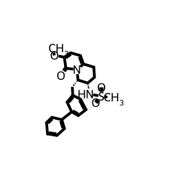 COc1ccc2n(c1=O)[C@@H](Cc1cccc(-c3ccccc3)c1)[C@@H](NS(C)(=O)=O)CC2